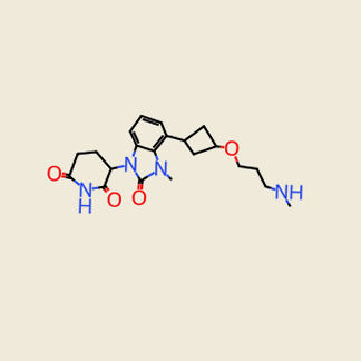 CNCCCOC1CC(c2cccc3c2n(C)c(=O)n3C2CCC(=O)NC2=O)C1